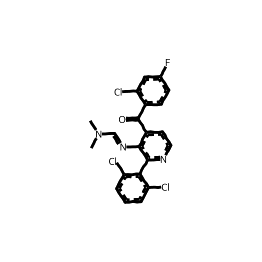 CN(C)C=Nc1c(C(=O)c2ccc(F)cc2Cl)ccnc1-c1c(Cl)cccc1Cl